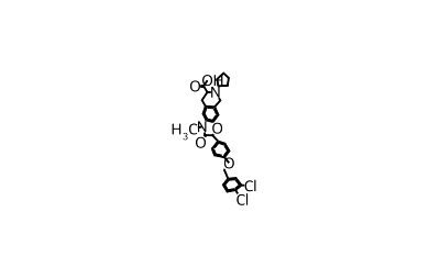 CN1C(=O)C(c2ccc(OCc3ccc(Cl)c(Cl)c3)cc2)Oc2cc3c(cc21)CC(C(=O)O)N(C1CCCC1)C3